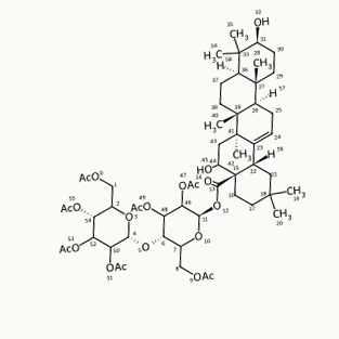 CC(=O)OCC1O[C@H](O[C@H]2C(COC(C)=O)O[C@H](OC(=O)[C@]34CCC(C)(C)C[C@H]3C3=CC[C@@H]5[C@@]6(C)CC[C@H](O)C(C)(C)[C@@H]6CC[C@@]5(C)[C@]3(C)CC4O)C(OC(C)=O)C2OC(C)=O)C(OC(C)=O)C(OC(C)=O)[C@@H]1OC(C)=O